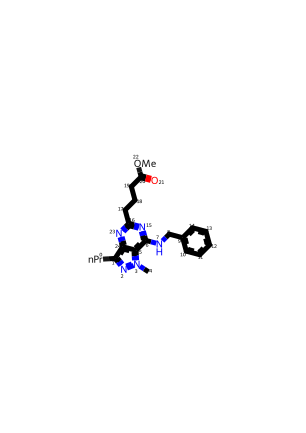 CCCc1nn(C)c2c(NCc3ccccc3)nc(CCCC(=O)OC)nc12